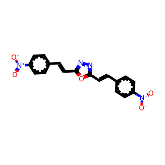 O=[N+]([O-])c1ccc(/C=C/c2nnc(/C=C/c3ccc([N+](=O)[O-])cc3)o2)cc1